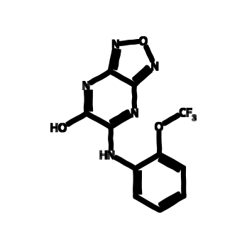 Oc1nc2nonc2nc1Nc1ccccc1OC(F)(F)F